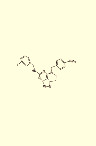 COc1ccc(CN2CCc3n[nH]c4nc(NCc5cccc(F)c5)nc2c34)cc1